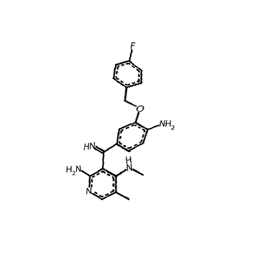 CNc1c(C)cnc(N)c1C(=N)c1ccc(N)c(OCc2ccc(F)cc2)c1